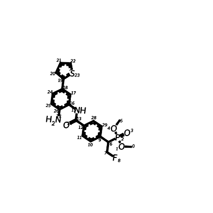 COP(=O)(OC)C(CF)c1ccc(C(=O)Nc2cc(-c3cccs3)ccc2N)cc1